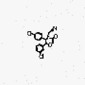 N#CCN1C(=O)COC(c2cccc(Cl)c2)C1c1ccc(Cl)cc1